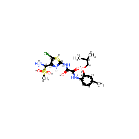 Cc1ccc(NC(=O)C(=O)Nc2nc(C(N)S(C)(=O)=O)c(Cl)s2)c(OCC(C)C)c1